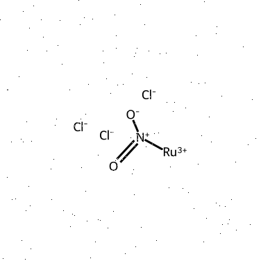 O=[N+]([O-])[Ru+3].[Cl-].[Cl-].[Cl-]